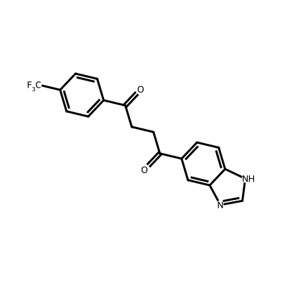 O=C(CCC(=O)c1ccc2[nH]cnc2c1)c1ccc(C(F)(F)F)cc1